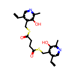 C=Cc1cnc(C)c(O)c1CSC(=O)CCC(=O)SCc1c(C=C)cnc(C)c1O